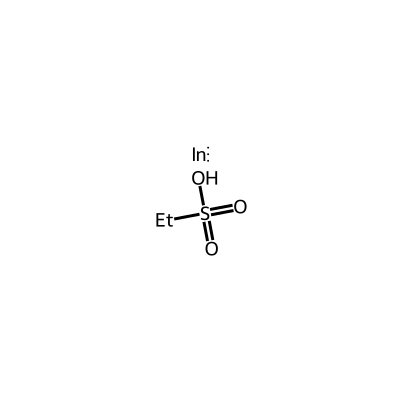 CCS(=O)(=O)O.[In]